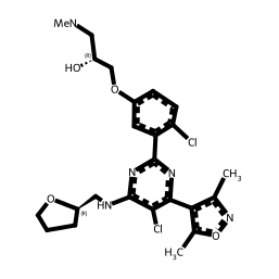 CNC[C@@H](O)COc1ccc(Cl)c(-c2nc(NC[C@H]3CCCO3)c(Cl)c(-c3c(C)noc3C)n2)c1